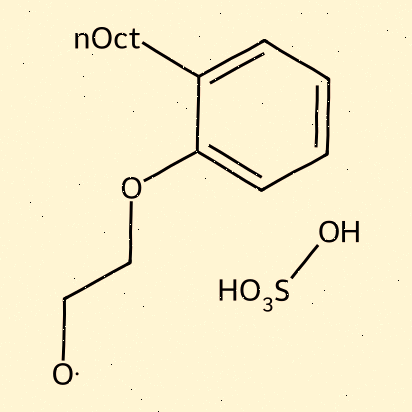 CCCCCCCCc1ccccc1OCC[O].O=S(=O)(O)O